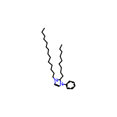 CCCCCCCCCCCCCCN1C=CN(c2ccccc2)C1CCCCCCCCC